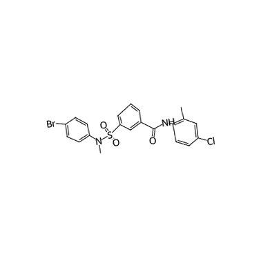 Cc1cc(Cl)ccc1NC(=O)c1cccc(S(=O)(=O)N(C)c2ccc(Br)cc2)c1